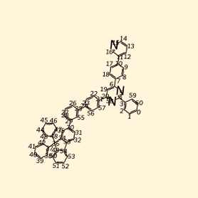 c1ccc(-c2nc(-c3ccc(-c4cccnc4)cc3)cc(-c3ccc(-c4cccc(-c5ccc6c(c5)C5(c7ccccc7-c7ccccc75)c5ccccc5-6)c4)cc3)n2)cc1